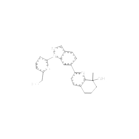 CC1(N)CCCc2ccc(-c3ccc4cnn(-c5cccc(CO)n5)c4c3)nc21